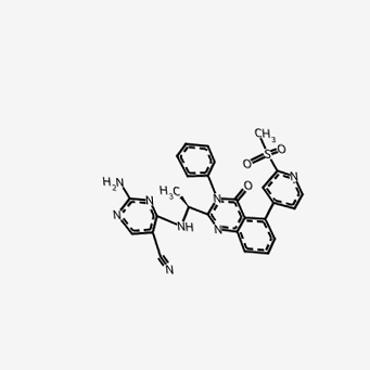 C[C@H](Nc1nc(N)ncc1C#N)c1nc2cccc(-c3ccnc(S(C)(=O)=O)c3)c2c(=O)n1-c1ccccc1